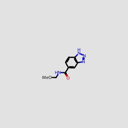 COCNC(=O)c1ccc2[nH]nnc2c1